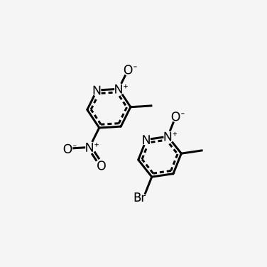 Cc1cc(Br)cn[n+]1[O-].Cc1cc([N+](=O)[O-])cn[n+]1[O-]